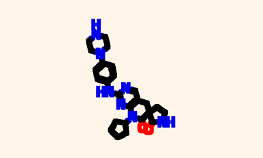 O=C1NCCC12Cc1cnc(Nc3ccc(N4CCNCC4)cc3)nc1N(C1CCCC1)C2=O